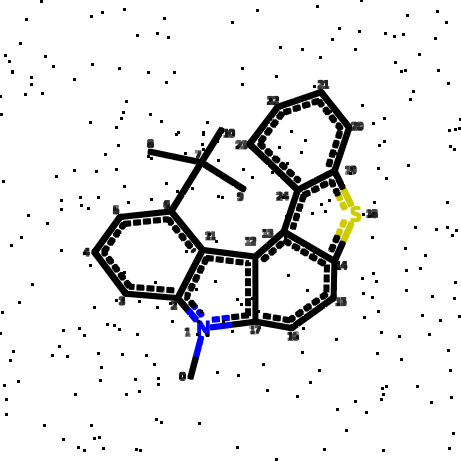 Cn1c2cccc(C(C)(C)C)c2c2c3c(ccc21)sc1ccccc13